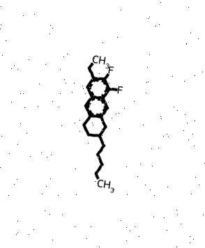 CCCCCC1CCc2cc3cc(CC)c(F)c(F)c3cc2C1